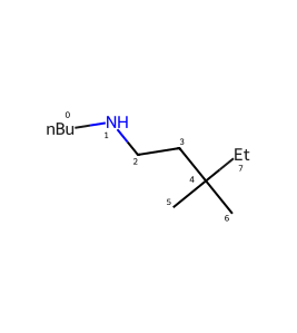 CCCCNCCC(C)(C)CC